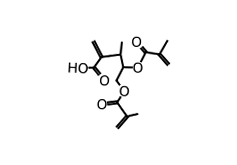 C=C(C)C(=O)OCC(OC(=O)C(=C)C)C(C)C(=C)C(=O)O